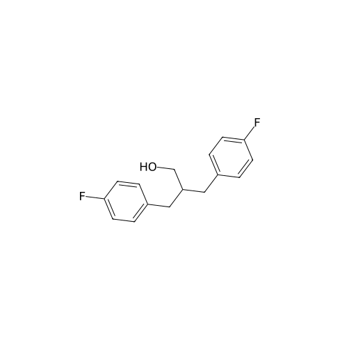 OCC(Cc1ccc(F)cc1)Cc1ccc(F)cc1